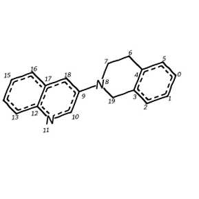 c1ccc2c(c1)CCN(c1cnc3ccccc3c1)C2